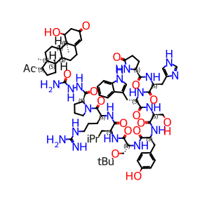 CC(=O)[C@H]1CC[C@H]2[C@@H]3CCC4=CC(=O)CC(O)[C@]4(C)[C@H]3CC[C@]12C.CC(C)C[C@H](NC(=O)[C@@H](COC(C)(C)C)NC(=O)[C@H](Cc1ccc(O)cc1)NC(=O)[C@H](CO)NC(=O)[C@H](Cc1c[nH]c2ccccc12)NC(=O)[C@H](Cc1c[nH]cn1)NC(=O)[C@@H]1CCC(=O)N1)C(=O)N[C@@H](CCCNC(=N)N)C(=O)N1CCC[C@H]1C(=O)NNC(N)=O